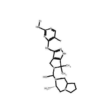 CCNc1ncc(F)c(Nc2n[nH]c3c2CN(C(O)N2CC4CCCN4C[C@@H]2C)C3(C)C)n1